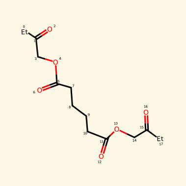 CCC(=O)COC(=O)CCCCC(=O)OCC(=O)CC